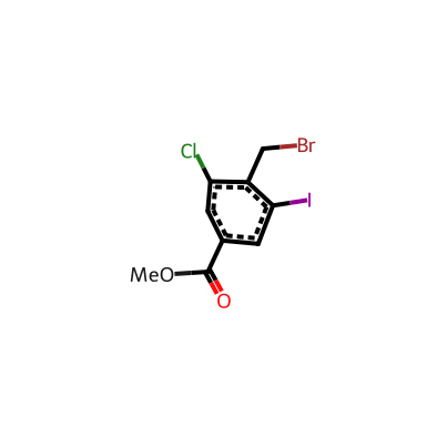 COC(=O)c1cc(Cl)c(CBr)c(I)c1